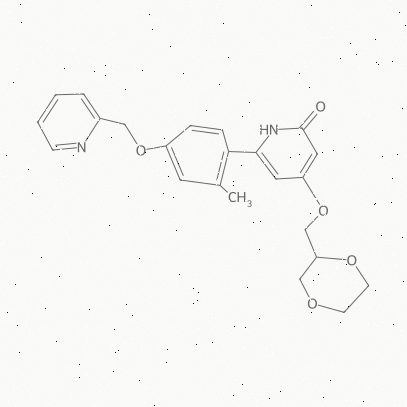 Cc1cc(OCc2ccccn2)ccc1-c1cc(OCC2COCCO2)cc(=O)[nH]1